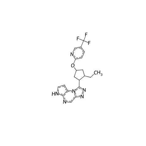 CCC1CC(Oc2ccc(C(F)(F)F)cn2)CC1c1nnc2cnc3[nH]ccc3n12